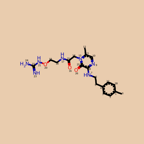 Cc1ccc(CCNc2ncc(C)n(CC(=O)NCCONC(=N)N)c2=O)cc1